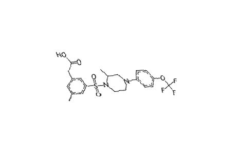 Cc1cc(CC(=O)O)cc(S(=O)(=O)N2CCN(c3ccc(OC(F)(F)F)cc3)CC2C)c1